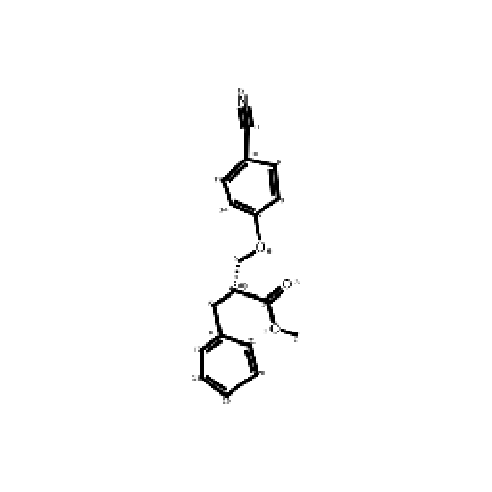 COC(=O)[C@@H](COc1ccc(C#N)cc1)Cc1ccccc1